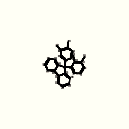 Cc1ccc(C2(c3cccc(C)c3C)c3ccccc3-c3ccccc32)cc1C